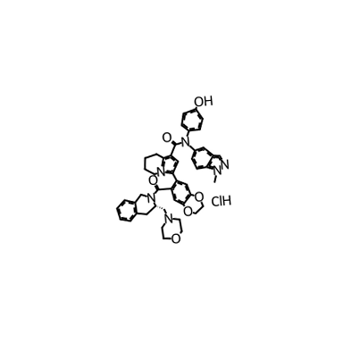 Cl.Cn1ncc2cc(N(C(=O)c3cc(-c4cc5c(cc4C(=O)N4Cc6ccccc6C[C@H]4CN4CCOCC4)OCCO5)n4c3CCCC4)c3ccc(O)cc3)ccc21